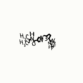 CCC(C)NC(=O)c1cnn(Cc2ccc(-c3noc(C(F)(F)F)n3)s2)c1